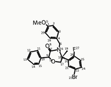 COc1ccc(CN2C(=O)C(c3ccccc3)OC[C@@]2(C)c2cc(Br)ccc2F)cc1